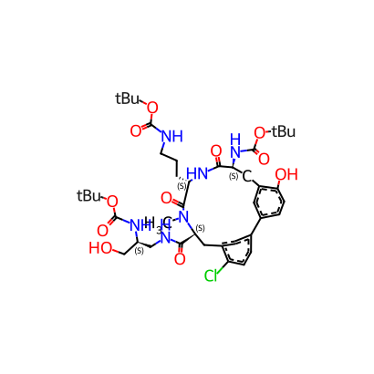 CN1C(=O)[C@H](CCCNC(=O)OC(C)(C)C)NC(=O)[C@@H](NC(=O)OC(C)(C)C)Cc2cc(ccc2O)-c2ccc(Cl)c(c2)C[C@H]1C(=O)NC[C@@H](CO)NC(=O)OC(C)(C)C